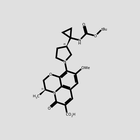 COc1cc2cc(C(=O)O)c(=O)n3c2c(c1N1CC[C@@H](C2(NC(=O)OC(C)(C)C)CC2)C1)OC[C@@H]3C